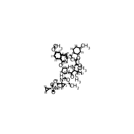 C=C[C@@H]1C[C@]1(NC(=O)[C@@H]1C[C@@H](Oc2nccc3cc(OC)ccc23)CN1C(=O)[C@@H](NC(=O)CO[C@@H]1C[C@H](C)CC[C@H]1C(C)C)C(C)(C)I)C(=O)NS(=O)(=O)C1CC1